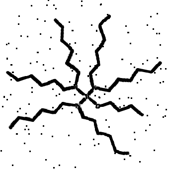 CCCCCC[N](CCCCCC)[Ti]([O]CCCC)([N](CCCCCC)CCCCCC)[N](CCCCCC)CCCCCC